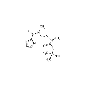 CN(CCN(C)C(=O)c1ncc[nH]1)C(=O)OC(C)(C)C